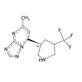 Cc1cc([C@@H]2CNCC(C(F)(F)F)C2)n2ncnc2n1